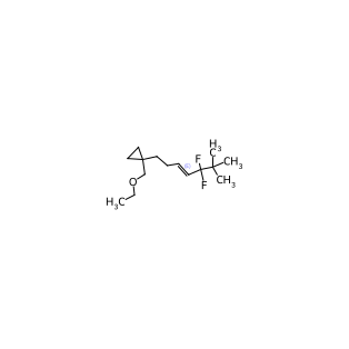 CCOCC1(CC/C=C/C(F)(F)C(C)(C)C)CC1